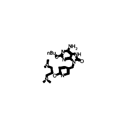 CCCCOc1nc(N)c2[nH]c(=O)n(Cc3ccc(OC(CN(C)C)CN(C)C)nc3)c2n1